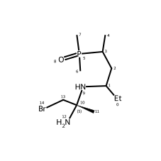 CCC(CC(C)P(C)(C)=O)N[C@](C)(N)CBr